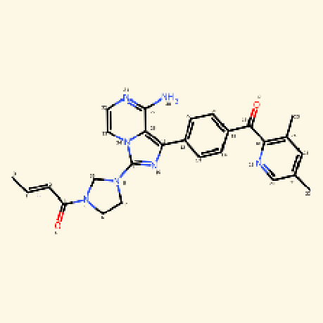 C/C=C/C(=O)N1CCN(c2nc(-c3ccc(C(=O)c4ncc(C)cc4C)cc3)c3c(N)nccn23)C1